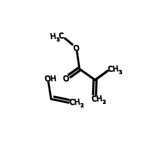 C=C(C)C(=O)OC.C=CO